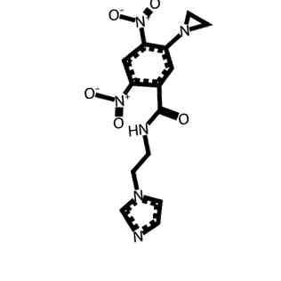 O=C(NCCn1ccnc1)c1cc(N2CC2)c([N+](=O)[O-])cc1[N+](=O)[O-]